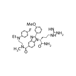 CCN(CCN(C)C(=O)c1ccc2c(c1)nc(-c1cccc(OC)c1)n2[C@@H](CCCNC(=N)N)C(N)=O)c1ccc(F)cc1